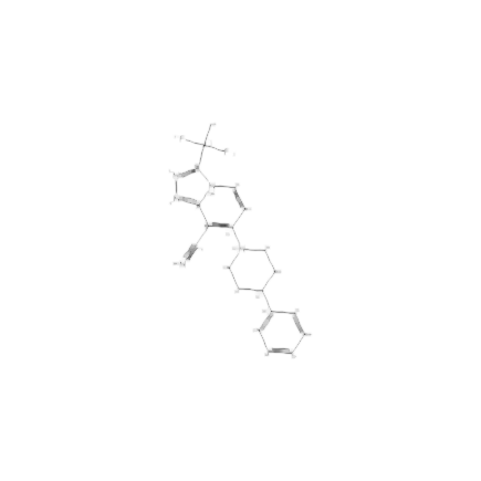 CC(F)(F)c1nnc2c(C#N)c(N3CCC(c4ccccc4)CC3)ccn12